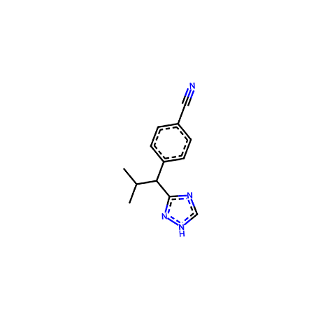 CC(C)C(c1ccc(C#N)cc1)c1nc[nH]n1